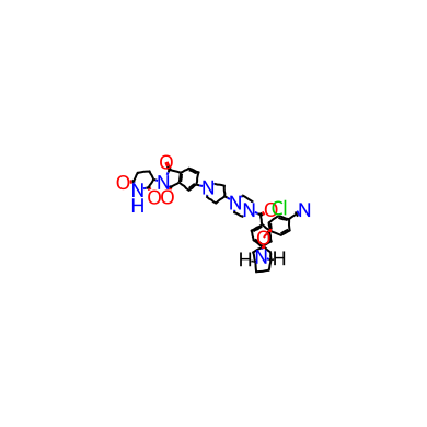 N#Cc1ccc(OC2C[C@H]3CC[C@@H](C2)N3c2ccc(C(=O)N3CCN(C4CCN(c5ccc6c(c5)C(=O)N(C5CCC(=O)NC5=O)C6=O)CC4)CC3)cc2)cc1Cl